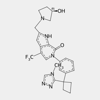 Cn1cnnc1C1(c2cccc(-n3cc(C(F)(F)F)c4cc(CN5CC[C@@H](O)C5)[nH]c4c3=O)c2)CCC1